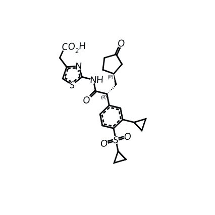 O=C(O)Cc1csc(NC(=O)[C@H](C[C@H]2CCC(=O)C2)c2ccc(S(=O)(=O)C3CC3)c(C3CC3)c2)n1